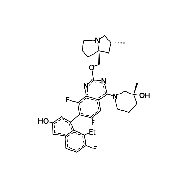 CCc1c(F)ccc2cc(O)cc(-c3c(F)cc4c(N5CCC[C@@](C)(O)C5)nc(OC[C@@]56CCCN5C[C@H](C)C6)nc4c3F)c12